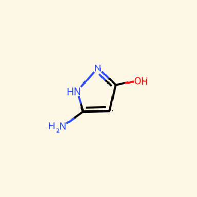 Nc1[c]c(O)n[nH]1